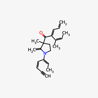 C#C/C=C\C(=C/C)N1CCC(C)(C(=O)C(=C/C=C)/C(C)=C\C)C1=C